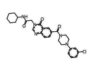 O=C(Cn1cnc2ccc(C(=O)N3CCN(c4cccc(Cl)c4)CC3)cc2c1=O)NC1CCCCC1